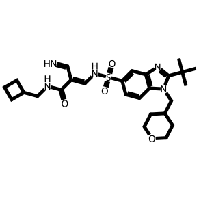 CC(C)(C)c1nc2cc(S(=O)(=O)N/C=C(\C=N)C(=O)NCC3CCC3)ccc2n1CC1CCOCC1